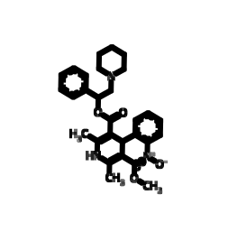 COC(=O)C1=C(C)NC(C)=C(C(=O)OC(CN2CCCCC2)c2ccccc2)C1c1ccccc1[N+](=O)[O-]